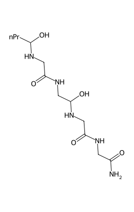 CCCC(O)NCC(=O)NCC(O)NCC(=O)NCC(N)=O